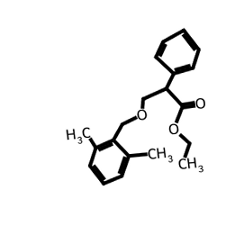 CCOC(=O)C(COCc1c(C)cccc1C)c1ccccc1